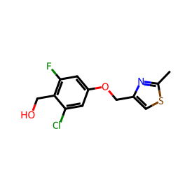 Cc1nc(COc2cc(F)c(CO)c(Cl)c2)cs1